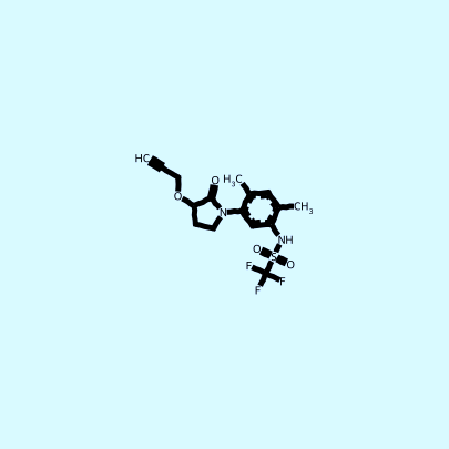 C#CCOC1CCN(c2cc(NS(=O)(=O)C(F)(F)F)c(C)cc2C)C1=O